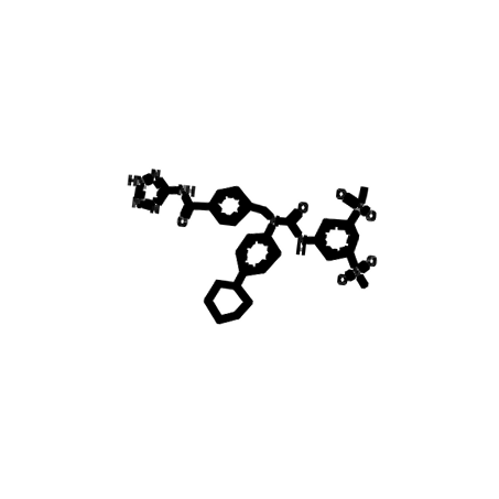 CS(=O)(=O)c1cc(NC(=O)N(Cc2ccc(C(=O)Nc3nn[nH]n3)cc2)c2ccc(C3CCCCC3)cc2)cc(S(C)(=O)=O)c1